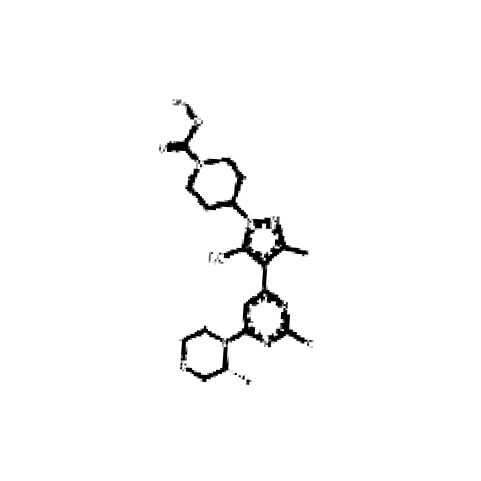 Cc1nn(C2CCN(C(=O)OC(C)(C)C)CC2)c(C(F)(F)F)c1-c1cc(N2CCOC[C@H]2C)nc(Cl)n1